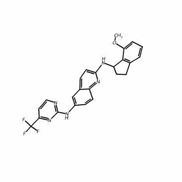 COc1cccc2c1C(Nc1ccc3cc(Nc4nccc(C(F)(F)F)n4)ccc3n1)CC2